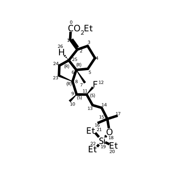 CCOC(=O)C=C1CCC[C@]2(C)[C@@H]([C@H](C)[C@@H](F)CCC(C)(C)O[Si](CC)(CC)CC)CC[C@@H]12